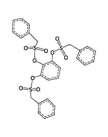 O=S(=O)(Cc1ccccc1)Oc1cccc(OS(=O)(=O)Cc2ccccc2)c1OS(=O)(=O)Cc1ccccc1